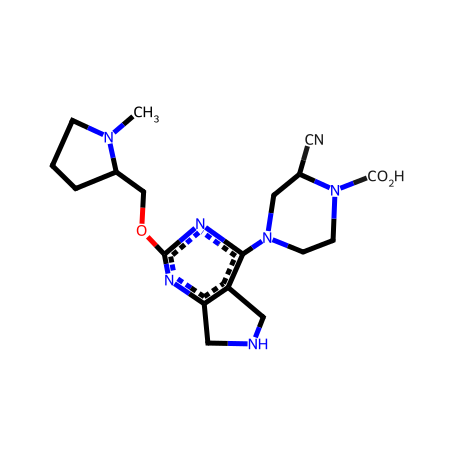 CN1CCCC1COc1nc2c(c(N3CCN(C(=O)O)C(C#N)C3)n1)CNC2